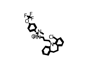 CN=S(=O)(NCCCN1c2ccccc2CCc2cccc(Cl)c21)c1ccc(OC(F)(F)F)cc1